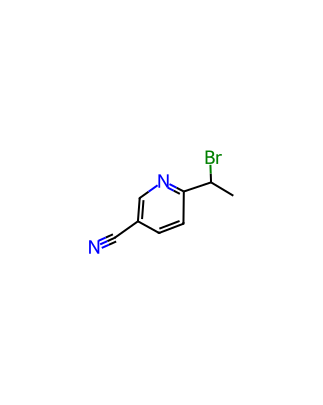 CC(Br)c1ccc(C#N)cn1